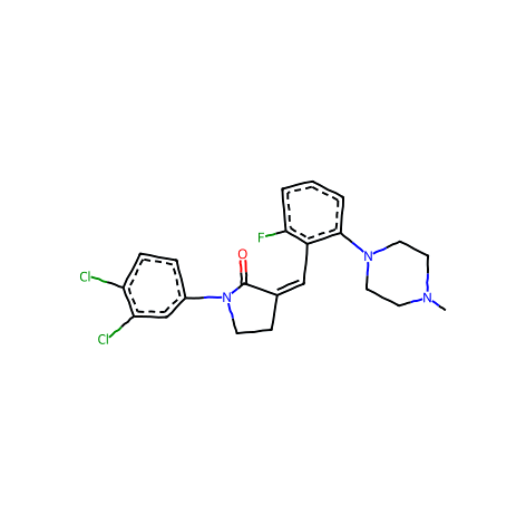 CN1CCN(c2cccc(F)c2/C=C2/CCN(c3ccc(Cl)c(Cl)c3)C2=O)CC1